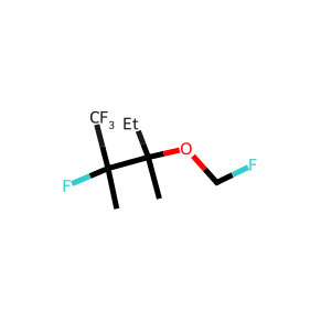 CCC(C)(OCF)C(C)(F)C(F)(F)F